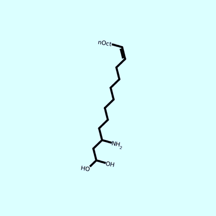 CCCCCCCC/C=C\CCCCCCCC(N)CC(O)O